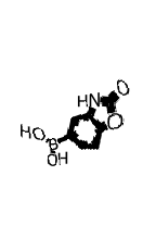 O=c1[nH]c2cc(B(O)O)ccc2o1